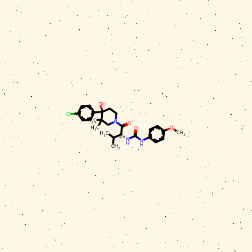 COc1ccc(NC(=O)N[C@@H](C(=O)N2CCC(O)(c3ccc(Cl)cc3)C(C)(C)C2)C(C)C)cc1